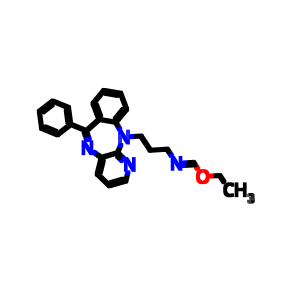 CCO/C=N/CCCN1c2ccccc2C(c2ccccc2)=Nc2cccnc21